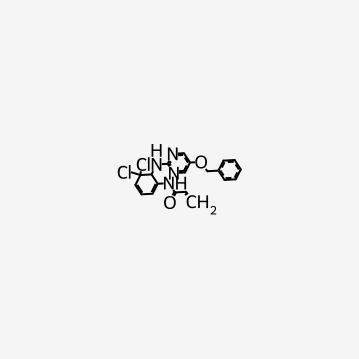 C=CC(=O)NC1=CC=CC(Cl)(Cl)C1Nc1ncc(OCc2ccccc2)cn1